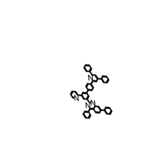 c1ccc(-c2cc(-c3ccccc3)nc(-c3ccc(-c4cc(-c5ccccn5)cc(-c5nc(-c6ccccc6)c6ccc(-c7ccccc7)cc6n5)c4)cc3)c2)cc1